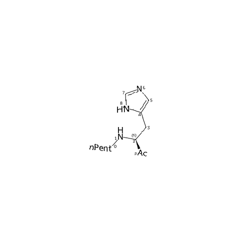 CCCCCN[C@@H](Cc1cnc[nH]1)C(C)=O